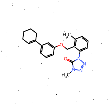 Cc1cccc(-n2nnn(C)c2=O)c1COc1cccc(C2=CCCCC2)c1